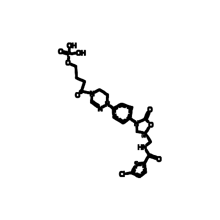 O=C(NC[C@H]1CN(c2ccc(N3CCN(C(=O)CCCOP(=O)(O)O)C=N3)cc2)C(=O)O1)c1ccc(Cl)s1